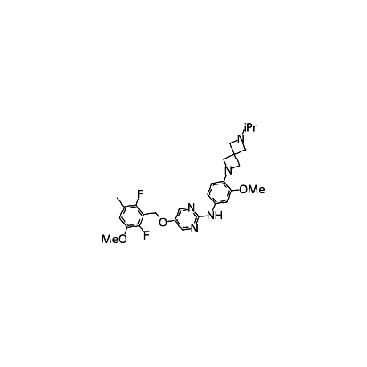 COc1cc(Nc2ncc(OCc3c(F)c(C)cc(OC)c3F)cn2)ccc1N1CC2(C1)CN(C(C)C)C2